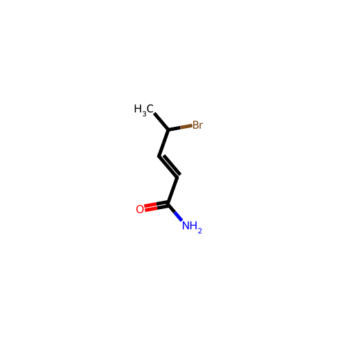 CC(Br)C=CC(N)=O